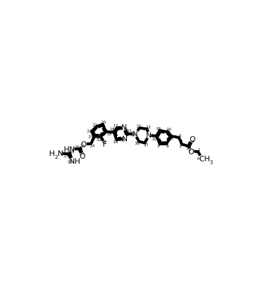 CCOC(=O)CCc1ccc(N2CCN(c3ncc(-c4cccc(COC(=O)NC(=N)N)c4F)cn3)CC2)cc1